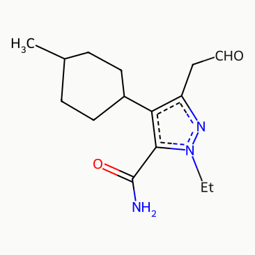 CCn1nc(CC=O)c(C2CCC(C)CC2)c1C(N)=O